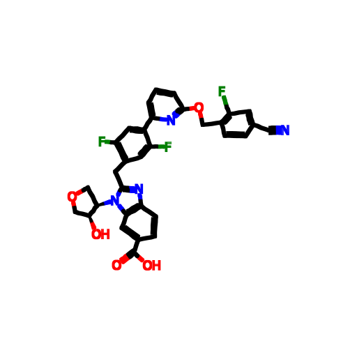 N#Cc1ccc(COc2cccc(-c3cc(F)c(Cc4nc5ccc(C(=O)O)cc5n4[C@@H]4COC[C@@H]4O)cc3F)n2)c(F)c1